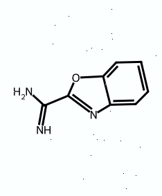 N=C(N)c1nc2ccccc2o1